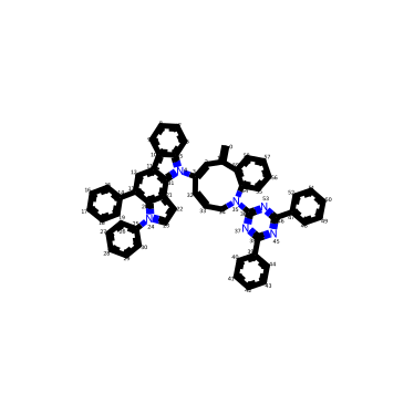 C=C1/C=C(n2c3ccccc3c3cc(-c4ccccc4)c4c(ccn4-c4ccccc4)c32)\C=C/CN(c2nc(-c3ccccc3)nc(-c3ccccc3)n2)c2ccccc21